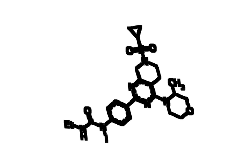 CCNC(=O)N(I)c1ccc(-c2nc3c(c(N4CCOCC4C)n2)CCN(S(=O)(=O)C2CC2)C3)cc1